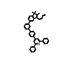 C=C/C=C\C1=C(C)C(C)(C)c2ccc(-c3cccc(-c4ccc(-c5cc(-c6ccccc6)nc(-c6ccccc6)c5)cc4)c3)cc21